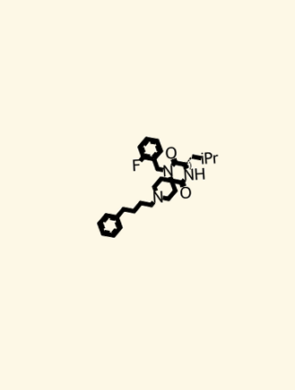 CC(C)C[C@@H]1NC(=O)C2(CCN(CCCCc3ccccc3)CC2)N(Cc2ccccc2F)C1=O